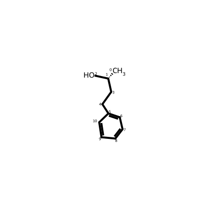 C[C@@H](O)CCc1ccccc1